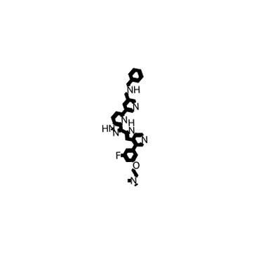 CN(C)CCOc1cc(F)cc(-c2cncc3[nH]c(-c4n[nH]c5ccc(-c6cncc(CNCc7ccccc7)c6)nc45)cc23)c1